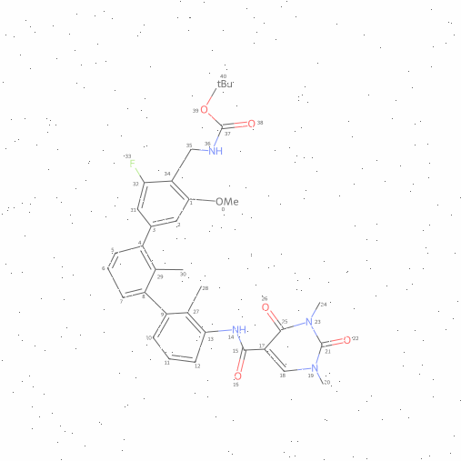 COc1cc(-c2cccc(-c3cccc(NC(=O)c4cn(C)c(=O)n(C)c4=O)c3C)c2C)cc(F)c1CNC(=O)OC(C)(C)C